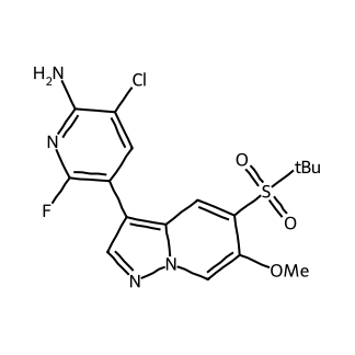 COc1cn2ncc(-c3cc(Cl)c(N)nc3F)c2cc1S(=O)(=O)C(C)(C)C